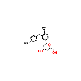 CCCCc1ccc(Cc2cc([C@H]3CC(O)C[C@@H](CO)O3)ccc2C2CC2)cc1